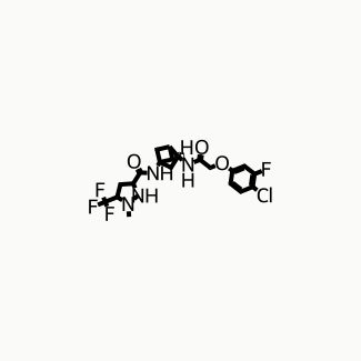 CN1NC(C(=O)NC23CC(C2)[C@@H](NC(=O)COc2ccc(Cl)c(F)c2)C3)CC1C(F)(F)F